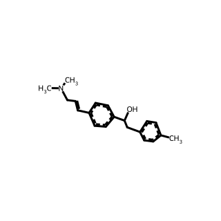 Cc1ccc(CC(O)c2ccc(C=CCN(C)C)cc2)cc1